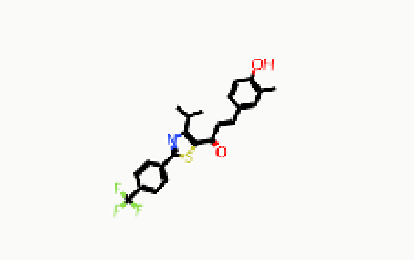 Cc1cc(C=CC(=O)c2sc(-c3ccc(C(F)(F)F)cc3)nc2C(C)C)ccc1O